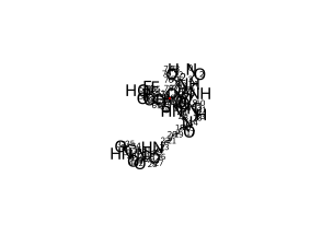 NC(=O)CCC(NC(=O)[C@@H]1CC[C@@H]2CCN(C(=O)CCCCCCNc3cccc4c3CN(C3CCC(=O)NC3=O)C4=O)C[C@H](NC(=O)c3cc4cc(C(F)(F)P(=O)(O)O)ccc4s3)C(=O)N21)C(=O)NC(c1ccccc1)c1ccccc1